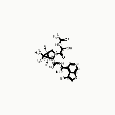 CC(C)(C)[C@H](NC(=O)C(F)(F)F)C(=O)N1C[C@H]2[C@@H]([C@H]1C(=O)NC(C#N)c1cncc3scc(Br)c13)C2(C)C